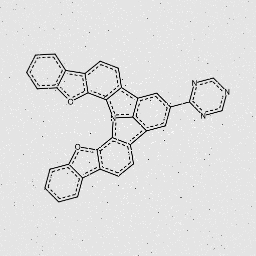 c1ccc2c(c1)oc1c2ccc2c3cc(-c4ncncn4)cc4c5ccc6c7ccccc7oc6c5n(c34)c21